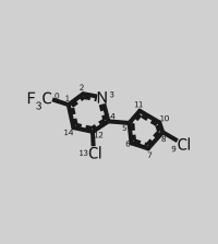 FC(F)(F)c1cnc(-c2ccc(Cl)cc2)c(Cl)c1